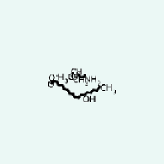 CCCCCCC(O)C/C=C\CCCCCCCC(=O)[O-].C[N+](C)(C)CCCN